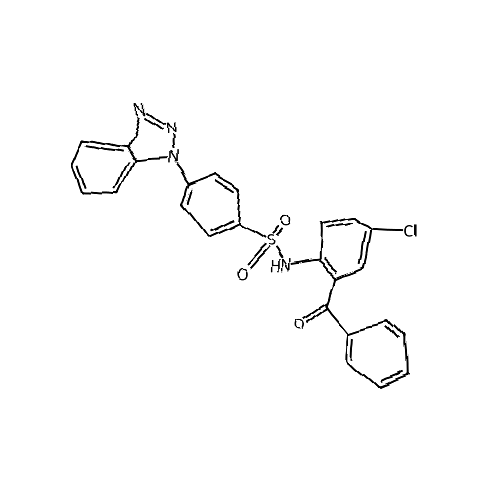 O=C(c1ccccc1)c1cc(Cl)ccc1NS(=O)(=O)c1ccc(-n2nnc3ccccc32)cc1